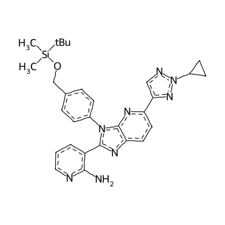 CC(C)(C)[Si](C)(C)OCc1ccc(-n2c(-c3cccnc3N)nc3ccc(-c4cnn(C5CC5)n4)nc32)cc1